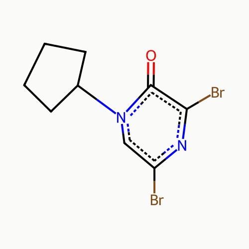 O=c1c(Br)nc(Br)cn1C1CCCC1